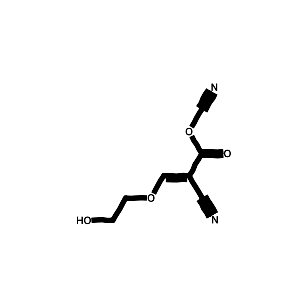 N#COC(=O)C(C#N)=COCCO